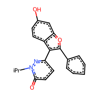 CC(C)n1nc(-c2c(-c3ccccc3)oc3cc(O)ccc23)ccc1=O